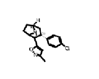 Cc1cc(C2C3CC[C@H](C[C@@H]2c2ccc(Cl)cc2)N3C)on1